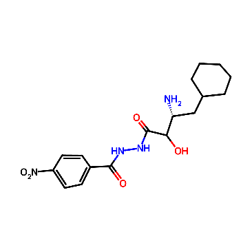 N[C@H](CC1CCCCC1)C(O)C(=O)NNC(=O)c1ccc([N+](=O)[O-])cc1